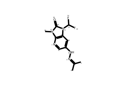 CC(C)=NNc1cnc2c(c1)n(C(F)F)c(=O)n2C